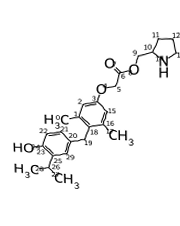 Cc1cc(OCC(=O)OCC2CCCN2)cc(C)c1Cc1ccc(O)c(C(C)C)c1